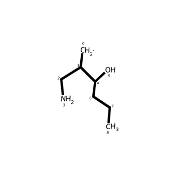 [CH2]C(CN)C(O)CCC